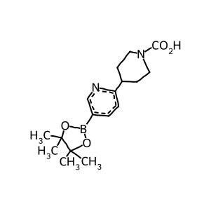 CC1(C)OB(c2ccc(C3CCN(C(=O)O)CC3)nc2)OC1(C)C